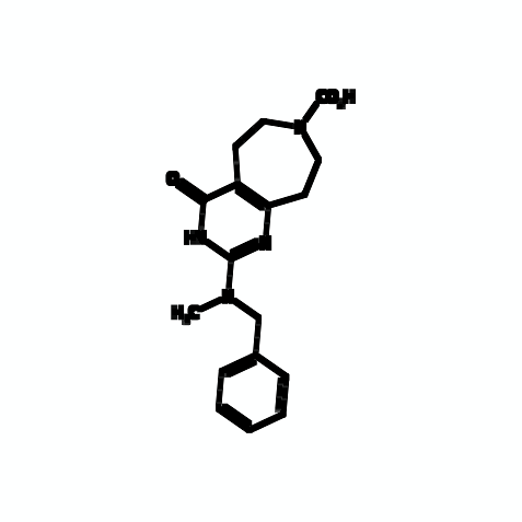 CN(Cc1ccccc1)c1nc2c(c(=O)[nH]1)CCN(C(=O)O)CC2